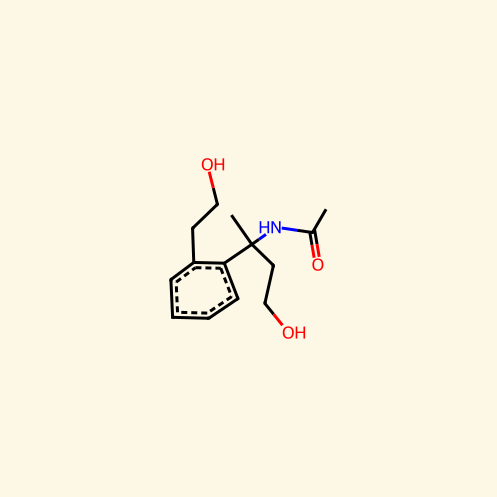 CC(=O)NC(C)(CCO)c1ccccc1CCO